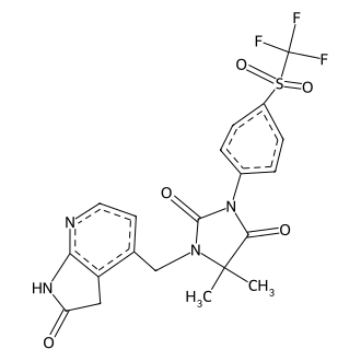 CC1(C)C(=O)N(c2ccc(S(=O)(=O)C(F)(F)F)cc2)C(=O)N1Cc1ccnc2c1CC(=O)N2